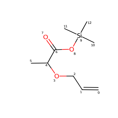 C=CCOC(C)C(=O)O[Si](C)(C)C